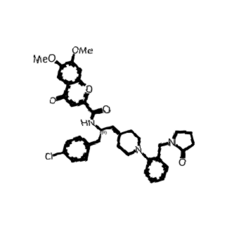 COc1cc2oc(C(=O)N[C@@H](C=C3CCN(c4ccccc4CN4CCCC4=O)CC3)Cc3ccc(Cl)cc3)cc(=O)c2cc1OC